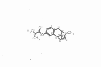 CC(C)C(=O)Oc1ccc2c(c1)C1CCN(C)C(C2)[C@H]1C